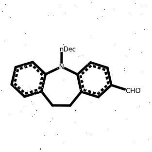 CCCCCCCCCCN1c2ccccc2CCc2cc(C=O)ccc21